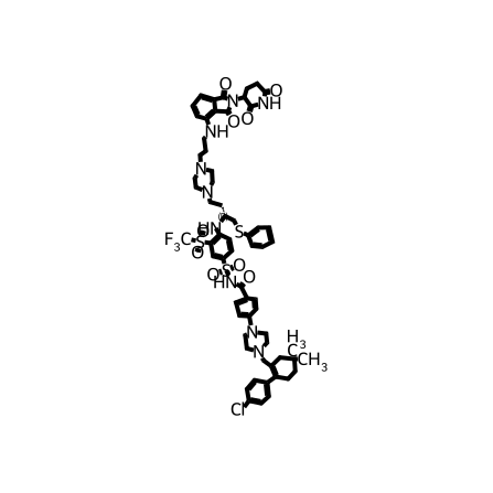 CC1(C)CCC(c2ccc(Cl)cc2)=C(CN2CCN(c3ccc(C(=O)NS(=O)(=O)c4ccc(N[C@H](CCN5CCN(CCCNc6cccc7c6C(=O)N(C6CCC(=O)NC6=O)C7=O)CC5)CSc5ccccc5)c(S(=O)(=O)C(F)(F)F)c4)cc3)CC2)C1